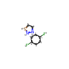 Fc1ccc(F)cc1.c1csnn1